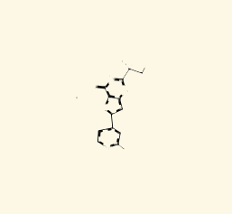 CC[C@H](N)c1nc2cc(-c3ccnc(F)c3)sc2c(=O)[nH]1.Cl